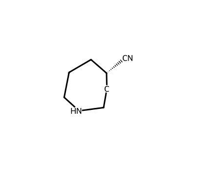 N#C[C@H]1CCCNCC1